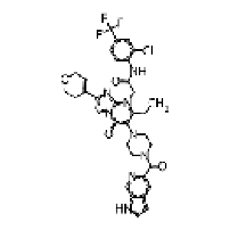 CCc1c(N2CCN(C(=O)c3cc4cc[nH]c4cn3)CC2)c(=O)n2nc(C3=CCOCC3)nc2n1CC(=O)Nc1ccc(C(F)(F)F)cc1Cl